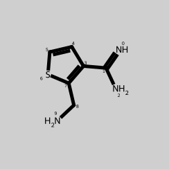 N=C(N)c1ccsc1CN